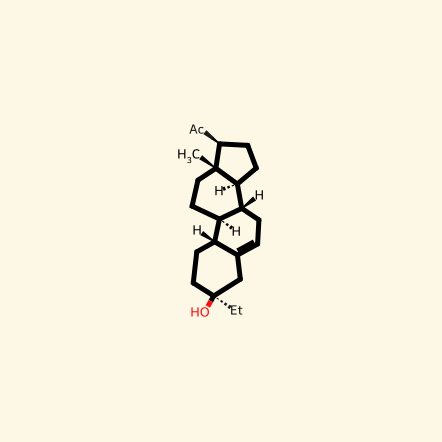 CC[C@]1(O)CC[C@H]2C(=CC[C@@H]3[C@@H]2CC[C@]2(C)[C@@H](C(C)=O)CC[C@@H]32)C1